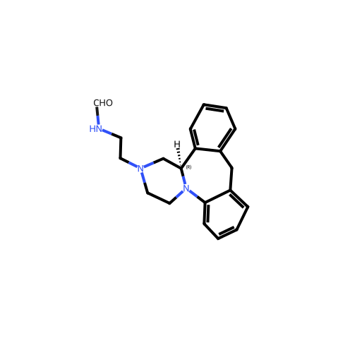 O=CNCCN1CCN2c3ccccc3Cc3ccccc3[C@@H]2C1